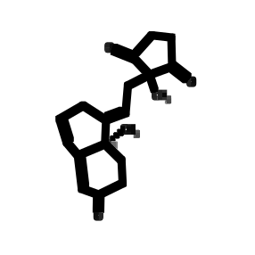 CC1(CC=C2CC=CC3=CC(=O)CC[C@@]32C)C(=O)CCC1=O